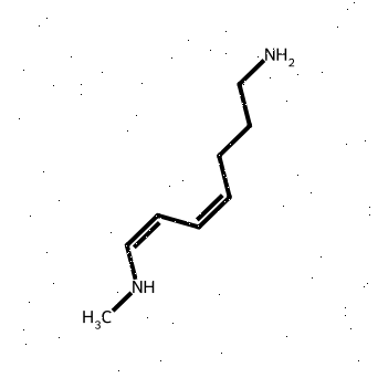 CN/C=C\C=C/CCCN